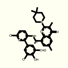 Cc1cc([C@@H](C)Nc2ccc(Cl)nc2-c2cc(Cl)c(O)c(C=O)c2)c2oc(N3CCC(C)(C)CC3)c(C)c(=O)c2c1